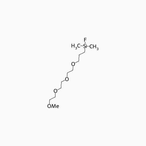 COCCOCCOCCOCCC[Si](C)(C)F